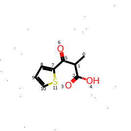 CC(C(=O)O)C(=O)c1cccs1